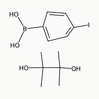 CC(C)(O)C(C)(C)O.OB(O)c1ccc(I)cc1